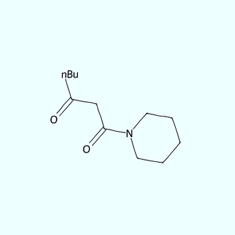 CCCCC(=O)CC(=O)N1CCCCC1